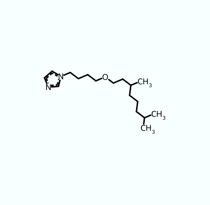 CC(C)CCCC(C)CCOCCCCn1ccnc1